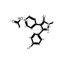 CC(=O)O.[Li][c]1c(-c2ccncc2)c(-c2ccc(F)cc2)nn1C